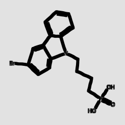 O=P(O)(O)CCCCn1c2ccccc2c2cc(Br)ccc21